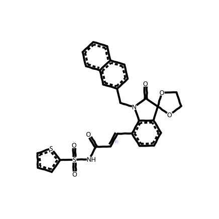 O=C(/C=C/c1cccc2c1N(Cc1ccc3ccccc3c1)C(=O)C21OCCO1)NS(=O)(=O)c1cccs1